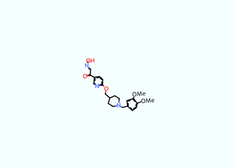 COc1ccc(CN2CCC(COc3ccc(C(=O)C=NO)cn3)CC2)cc1OC